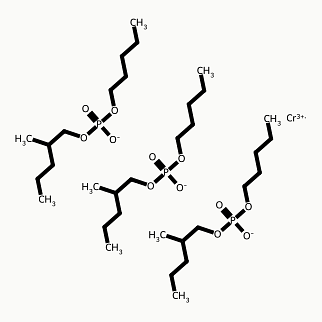 CCCCCOP(=O)([O-])OCC(C)CCC.CCCCCOP(=O)([O-])OCC(C)CCC.CCCCCOP(=O)([O-])OCC(C)CCC.[Cr+3]